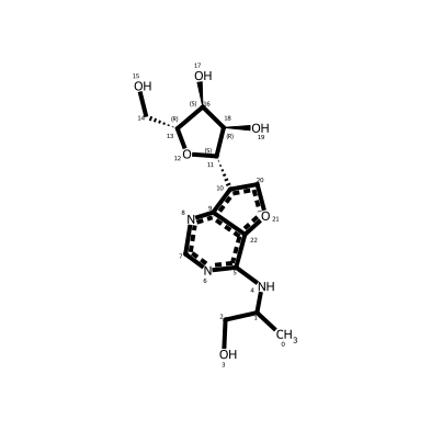 CC(CO)Nc1ncnc2c([C@@H]3O[C@H](CO)[C@@H](O)[C@H]3O)coc12